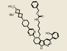 CC(C)(C)[C@@H]1N(C(=O)O)CC12CC(N1CCC(c3cnc(N4CCc5[nH]c6nnc(-c7ccccc7O)cc6c5[C@@H]4CCCCCNC(=O)OCc4ccccc4)nc3)CC1)C2